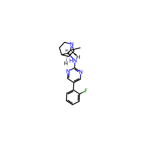 C[C@@H]1[C@@H](Nc2ncc(-c3ccccc3F)cn2)C2CCN1CC2